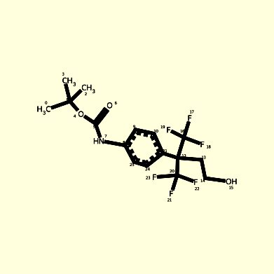 CC(C)(C)OC(=O)Nc1ccc(C(CCO)(C(F)(F)F)C(F)(F)F)cc1